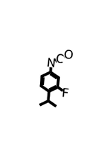 CC(C)c1ccc(N=C=O)cc1F